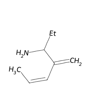 C=C(/C=C\C)C(N)CC